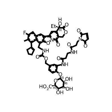 CC[C@@]1(O)C(=O)OCc2c1cc1c3cc4cc(F)c(C)c(C5=CCCC5)c4c(CNC(=O)OCc4ccc(O[C@@H]5O[C@H](C(=O)O)[C@@H](O)[C@H](O)[C@H]5O)c(NC(=O)CCNC(=O)CCN5C(=O)C=CC5=O)c4)c3on1c2=O